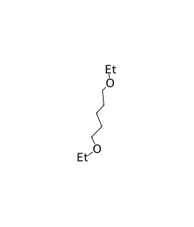 [CH2]COCCCCCOCC